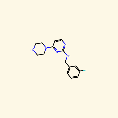 Fc1cccc(CNc2nccc(N3CCNCC3)n2)c1